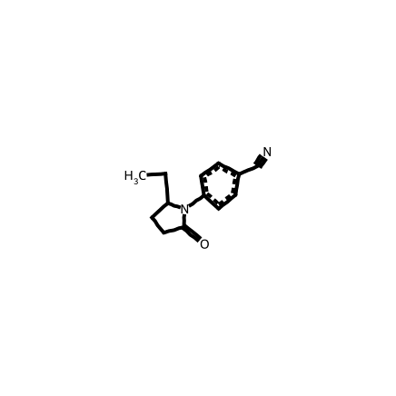 CCC1CCC(=O)N1c1ccc(C#N)cc1